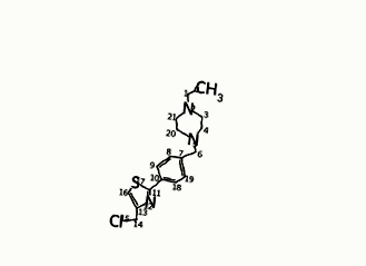 CCN1CCN(Cc2ccc(-c3nc(CCl)cs3)cc2)CC1